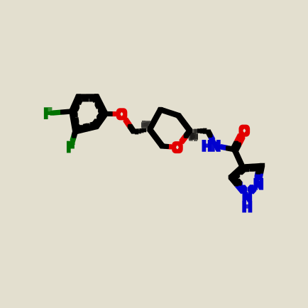 O=C(NC[C@H]1CC[C@@H](COc2ccc(F)c(F)c2)CO1)c1cn[nH]c1